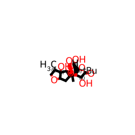 C[C@@H]1COC2CC34C5OC(=O)C3(O[C@@H]3OC(=O)[C@H](O)C34[C@H](C(C)(C)C)[C@H]5O)[C@]21O